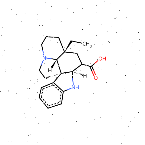 CC[C@@]12CCCN3CC[C@]4(c5ccccc5N[C@@H]4C(C(=O)O)C1)[C@H]32